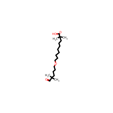 CC(C)(C=O)CCCCOCCCCCCCCC(C)(C)C(=O)O